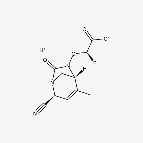 CC1=C[C@@H](C#N)N2C[C@@H]1N(O[C@H](F)C(=O)[O-])C2=O.[Li+]